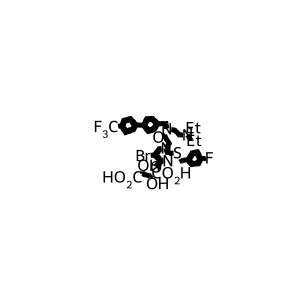 CCN(CC)CCN(Cc1ccc(-c2ccc(C(F)(F)F)cc2)cc1)C(=O)Cn1cc(Br)c(=O)nc1SCc1ccc(F)cc1.O=C(O)C(O)C(O)C(=O)O